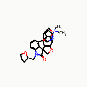 CN(C)c1ccc(-c2cccc3c2C2(COc4cc5c(cc42)CCO5)C(=O)N3C[C@H]2CCCO2)cn1